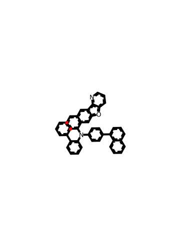 c1ccc(-c2ccccc2N(c2ccc(-c3cccc4ccccc34)cc2)c2cccc3cc4c(cc23)oc2cccnc24)cc1